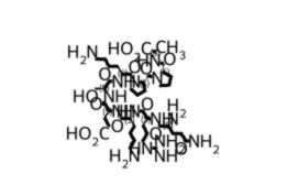 C[C@H](NC(=O)[C@@H]1CCCN1C(=O)[C@@H]1CCCN1C(=O)[C@H](CCCCN)NC(=O)[C@H](CO)NC(=O)[C@H](CCC(=O)O)NC(=O)[C@H](CCCCN)NC(=O)[C@H](CCCNC(=N)N)NC(=O)[C@@H](N)CCC(N)=O)C(=O)O